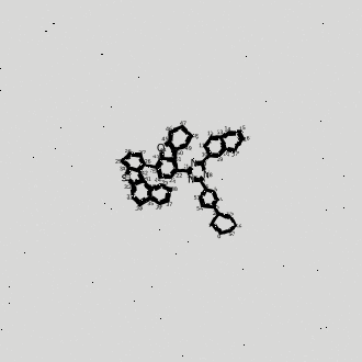 C1=CC(c2ccc(-c3nc(-c4ccc5ccccc5c4)nc(-c4ccc(-c5cccc6sc7ccc8ccccc8c7c56)c5oc6ccccc6c45)n3)cc2)=CCC1